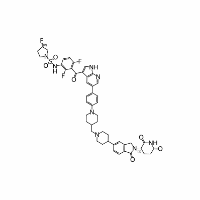 O=C1CC[C@H](N2Cc3cc(C4CCN(CC5CCN(c6ccc(-c7cnc8[nH]cc(C(=O)c9c(F)ccc(NS(=O)(=O)N%10CC[C@@H](F)C%10)c9F)c8c7)cc6)CC5)CC4)ccc3C2=O)C(=O)N1